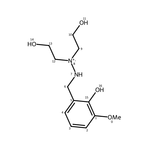 COc1cccc(CN[N+](CCO)CCO)c1O